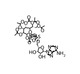 CC(=O)OC[C@@H](OC(C)=O)[C@H]1O[C@@H](OP(=O)(O)OP(O)(=S)OC[C@H]2O[C@@H](n3cnc4c(N)ncnc43)[C@H](O)[C@@H]2O)[C@@H](OC(C)=O)[C@@H](OC(C)=O)[C@@H]1OC(C)=O